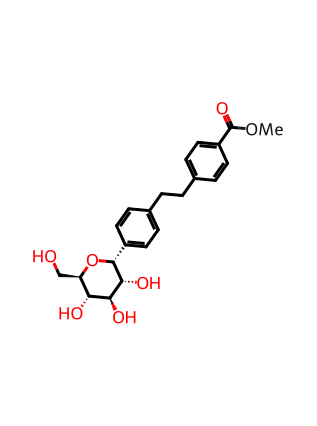 COC(=O)c1ccc(CCc2ccc([C@H]3O[C@H](CO)[C@@H](O)[C@H](O)[C@H]3O)cc2)cc1